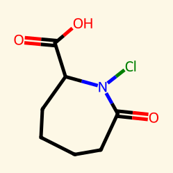 O=C(O)C1CCCCC(=O)N1Cl